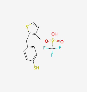 Cc1ccsc1Cc1ccc(S)cc1.O=S(=O)(O)C(F)(F)F